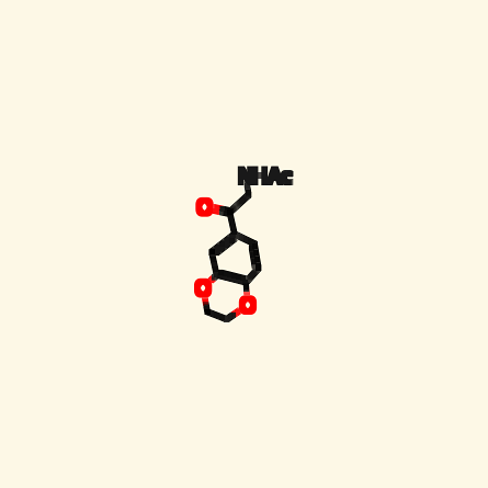 CC(=O)NCC(=O)c1ccc2c(c1)OCCO2